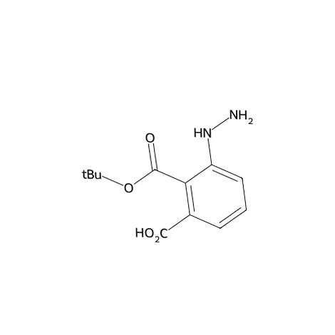 CC(C)(C)OC(=O)c1c(NN)cccc1C(=O)O